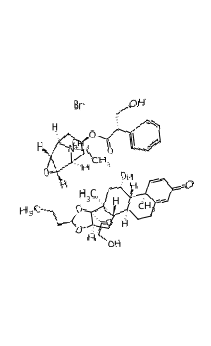 CCC[C@@H]1O[C@@H]2C[C@H]3[C@@H]4CCC5=CC(=O)C=C[C@]5(C)[C@H]4[C@@H](O)C[C@]3(C)[C@]2(C(=O)CO)O1.CC[N+]1(C)[C@@H]2C[C@@H](OC(=O)[C@H](CO)c3ccccc3)C[C@H]1[C@@H]1O[C@@H]12.[Br-]